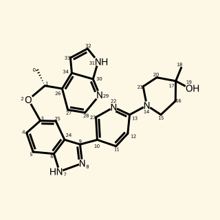 C[C@@H](Oc1ccc2[nH]nc(-c3ccc(N4CCC(C)(O)CC4)nc3)c2c1)c1ccnc2[nH]ccc12